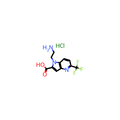 Cl.NCCn1c(C(=O)O)cc2nc(C(F)(F)F)ccc21